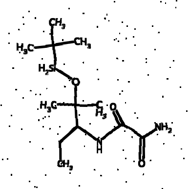 CCC(NC(=O)C(N)=O)C(C)(C)O[SiH2]C(C)(C)C